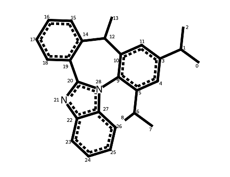 CC(C)c1cc(C(C)C)c2c(c1)C(C)c1ccccc1-c1nc3ccccc3n1-2